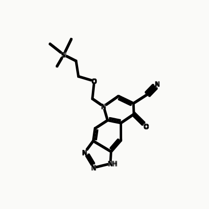 C[Si](C)(C)CCOCn1cc(C#N)c(=O)c2cc3[nH]nnc3cc21